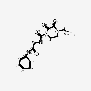 CCN1CCN(C(=O)NCC(=O)[N]c2ccccc2)C(=O)C1=O